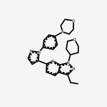 CCc1nn(C2CCOCC2)c2nc(-c3ccnn3-c3ccc(N4CCOCC4)cc3)ccc12